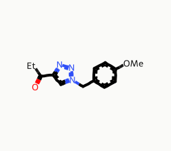 CCC(=O)c1cn(Cc2ccc(OC)cc2)nn1